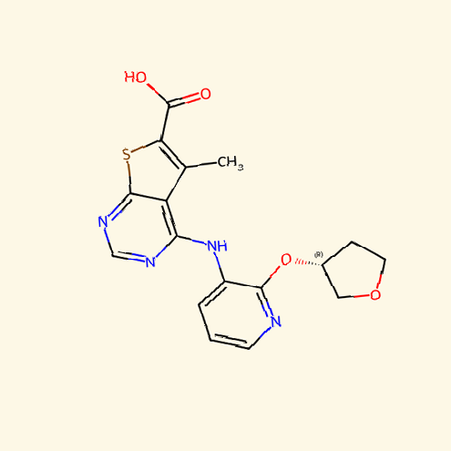 Cc1c(C(=O)O)sc2ncnc(Nc3cccnc3O[C@@H]3CCOC3)c12